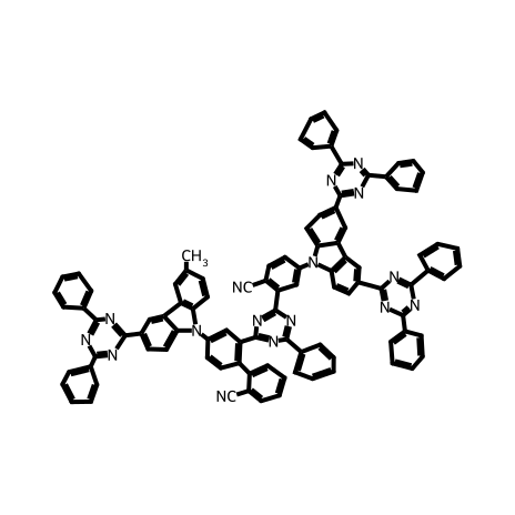 Cc1ccc2c(c1)c1cc(-c3nc(-c4ccccc4)nc(-c4ccccc4)n3)ccc1n2-c1ccc(-c2ccccc2C#N)c(-c2nc(-c3ccccc3)nc(-c3cc(-n4c5ccc(-c6nc(-c7ccccc7)nc(-c7ccccc7)n6)cc5c5cc(-c6nc(-c7ccccc7)nc(-c7ccccc7)n6)ccc54)ccc3C#N)n2)c1